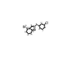 Clc1cccc(Cn2cc3c(Br)cccc3n2)c1